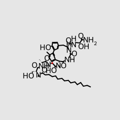 CCCCCCCCCCCCCCCC(=O)N(C)[C@H](CO)C(=O)N[C@H](C)C(=O)NCC(=O)N(C)[C@@H]1C(=O)N[C@@H](C)C(=O)N[C@H](C(=O)NCC(O)C(N)=O)Cc2ccc(O)c(c2)-c2cc1ccc2C